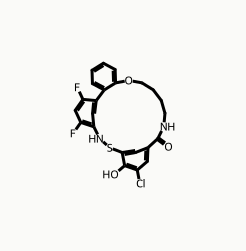 O=C1NCCCCOc2ccccc2-c2cc(c(F)cc2F)NSc2cc1cc(Cl)c2O